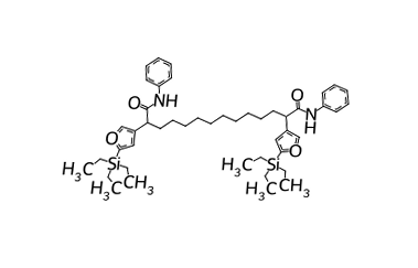 CC[Si](CC)(CC)c1cc(C(CCCCCCCCCCC(C(=O)Nc2ccccc2)c2coc([Si](CC)(CC)CC)c2)C(=O)Nc2ccccc2)co1